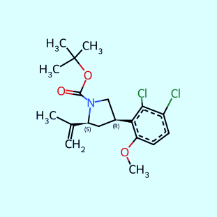 C=C(C)[C@@H]1C[C@H](c2c(OC)ccc(Cl)c2Cl)CN1C(=O)OC(C)(C)C